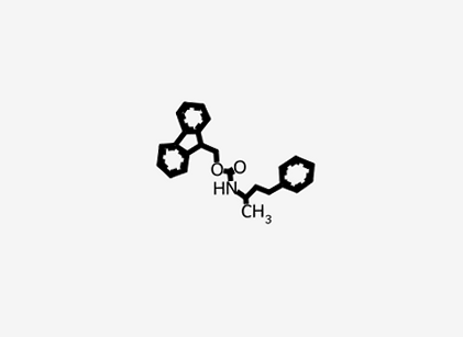 CC(CCc1ccccc1)NC(=O)OCC1c2ccccc2-c2ccccc21